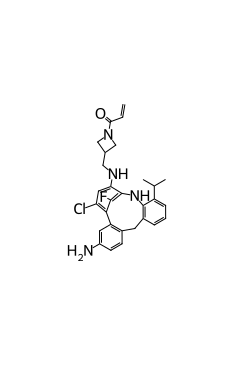 C=CC(=O)N1CC(CNc2cc(Cl)c3c(F)c2Nc2c(cccc2C(C)C)Cc2ccc(N)cc2-3)C1